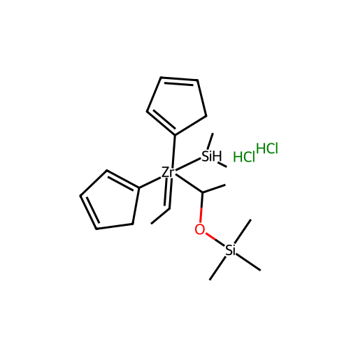 C[CH]=[Zr]([C]1=CC=CC1)([C]1=CC=CC1)([CH](C)O[Si](C)(C)C)[SiH](C)C.Cl.Cl